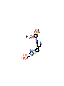 COc1cc(S(C)(=O)=O)c(F)cc1NCC#Cc1sc2c(NC3CCN(CC(O)CO)CC3F)cccc2c1CC#N